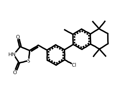 Cc1cc2c(cc1-c1cc(/C=C3\SC(=O)NC3=O)ccc1Cl)C(C)(C)CCC2(C)C